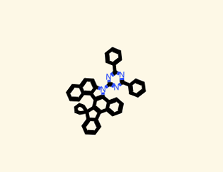 c1ccc(-c2nc(-c3ccccc3)nc(-n3c4ccc5ccccc5c4c4c5c(c6ccccc6c43)-c3ccccc3C53CCCCC3)n2)cc1